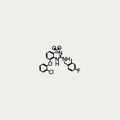 Cc1cc(F)ccc1CNC1=NS(=O)(=O)c2cccc(Oc3ccccc3Cl)c2N1